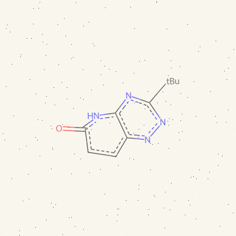 CC(C)(C)c1nnc2ccc(=O)[nH]c2n1